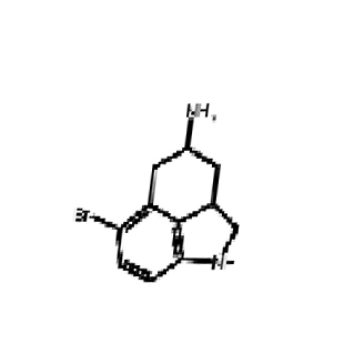 NC1Cc2c(Br)ccc3c2C(CN3)C1